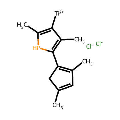 CC1=CC(C)=C(c2[pH]c(C)[c]([Ti+2])c2C)C1.[Cl-].[Cl-]